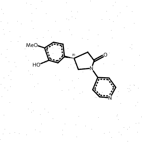 COc1ccc([C@H]2CC(=O)N(c3ccncc3)C2)cc1O